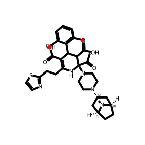 CC(=O)C1(N2CCN([C@@H]3C[C@H]4CC[C@@H](C3)N4C)CC2)NC(CCc2nccs2)=C(C(=O)O)C(c2c(Cl)cccc2Cl)C1C(=O)O